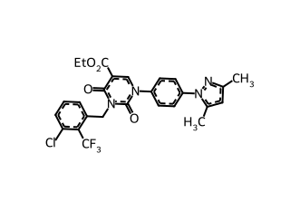 CCOC(=O)c1cn(-c2ccc(-n3nc(C)cc3C)cc2)c(=O)n(Cc2cccc(Cl)c2C(F)(F)F)c1=O